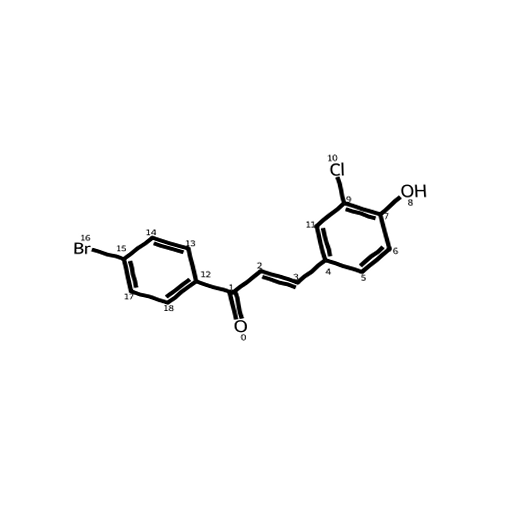 O=C(/C=C/c1ccc(O)c(Cl)c1)c1ccc(Br)cc1